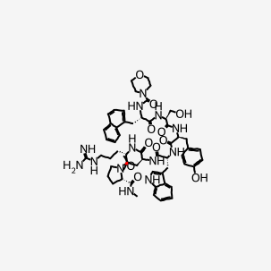 CNC(=O)[C@@H]1CCCN1C(=O)[C@H](CCCNC(=N)N)NC(=O)[C@H](CC(C)C)NC(=O)[C@@H](Cc1c[nH]c2ccccc12)NC(=O)[C@H](Cc1ccc(O)cc1)NC(=O)[C@H](CO)NC(=O)[C@H](Cc1cccc2ccccc12)NC(=O)N1CCOCC1